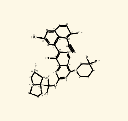 [2H]C([2H])(Oc1nc(N2CCCC(F)(F)C2)c2cnc(-c3cc(O)cc4ccc(F)c(C#C)c34)c(F)c2n1)[C@@]12CCCN1C[C@H](F)C2